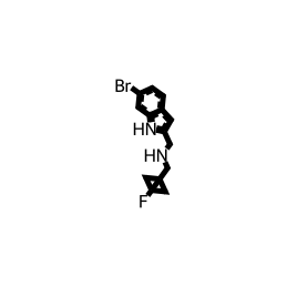 FC12CC1(CNCc1cc3ccc(Br)cc3[nH]1)C2